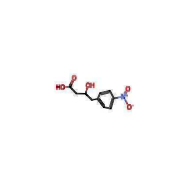 O=C(O)CC(O)Cc1ccc([N+](=O)[O-])cc1